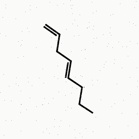 C=CCC=C[CH]CC